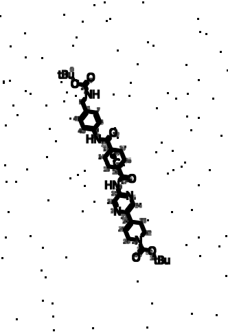 CC(C)(C)OC(=O)NCc1ccc(NC(=O)C23CCC(C(=O)Nc4cnc(C5=CCN(C(=O)OC(C)(C)C)CC5)cn4)(CC2)CC3)cc1